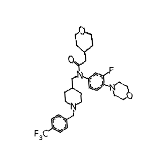 O=C(CC1CCOCC1)N(CC1CCN(Cc2ccc(C(F)(F)F)cc2)CC1)c1ccc(N2CCOCC2)c(F)c1